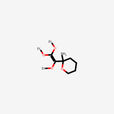 CCOC(OCC)=C(OCC)C1([SiH3])CCCCO1